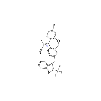 C/C(C#N)=C1/c2ccc(Cn3c(C(F)(F)F)nc4ccccc43)cc2COc2cc(F)ccc21